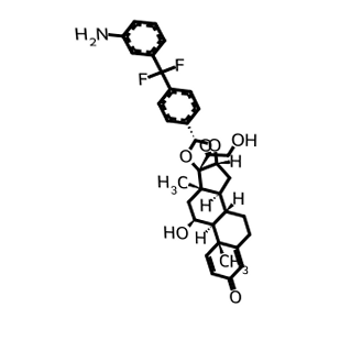 C[C@]12C=CC(=O)C=C1CC[C@@H]1[C@@H]2[C@@H](O)C[C@@]2(C)[C@H]1C[C@H]1O[C@@H](c3ccc(C(F)(F)c4cccc(N)c4)cc3)O[C@]12C(=O)CO